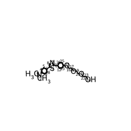 CN(C)c1ccc(-c2cnc(-c3ccc(OCCOCCOCCO)cc3)s2)cc1